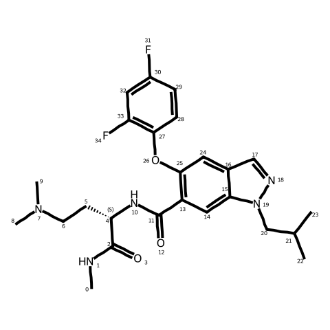 CNC(=O)[C@H](CCN(C)C)NC(=O)c1cc2c(cnn2CC(C)C)cc1Oc1ccc(F)cc1F